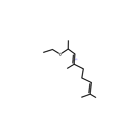 CCOC(C)/C=C(\C)CCC=C(C)C